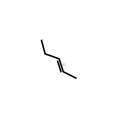 [CH2]C/C=[C]/C